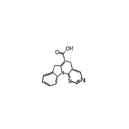 O=C(O)C1=C2Cc3ccccc3N2c2ncncc2C1